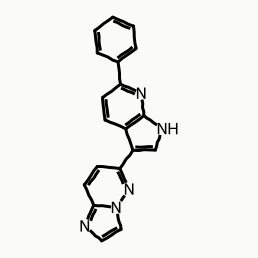 c1ccc(-c2ccc3c(-c4ccc5nccn5n4)c[nH]c3n2)cc1